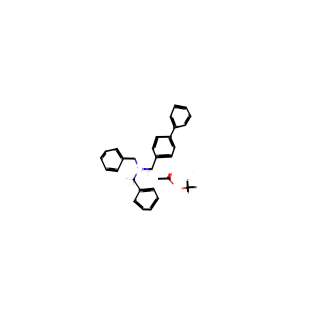 C[C@H](c1ccccc1)N(Cc1ccccc1)[C@@H](CC(=O)OC(C)(C)C)c1ccc(-c2ccccc2)cc1